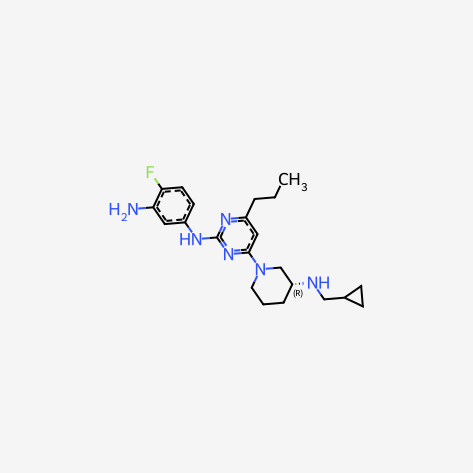 CCCc1cc(N2CCC[C@@H](NCC3CC3)C2)nc(Nc2ccc(F)c(N)c2)n1